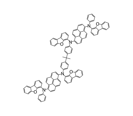 CC(C)(c1ccc(N(c2ccc3ccc4c(N(c5ccccc5)c5cccc6c5oc5ccccc56)ccc5ccc2c3c54)c2cccc3c2oc2ccccc23)cc1)c1ccc(N(c2ccc3ccc4c(N(c5ccccc5)c5cccc6c5oc5ccccc56)ccc5ccc2c3c54)c2cccc3c2oc2ccccc23)cc1